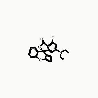 CCN(CC)c1cc(Cl)c2c(c1)C1(OC2=O)c2ccccc2Oc2ccccc21